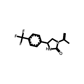 C=C(C)N1CC(c2ccc(C(F)(F)F)cc2)NC1=O